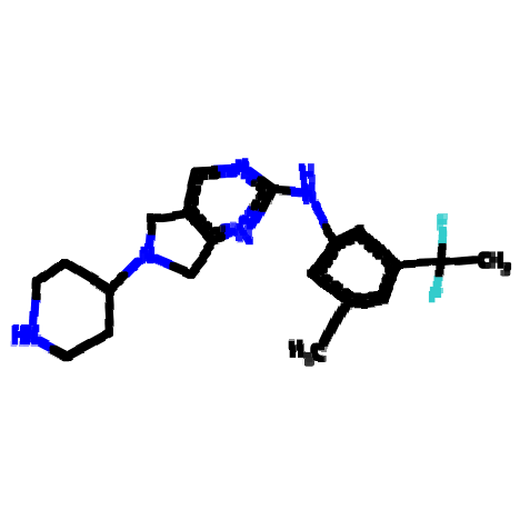 Cc1cc(Nc2ncc3c(n2)CN(C2CCNCC2)C3)cc(C(C)(F)F)c1